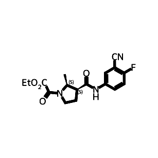 CCOC(=O)C(=O)N1CC[C@H](C(=O)Nc2ccc(F)c(C#N)c2)[C@@H]1C